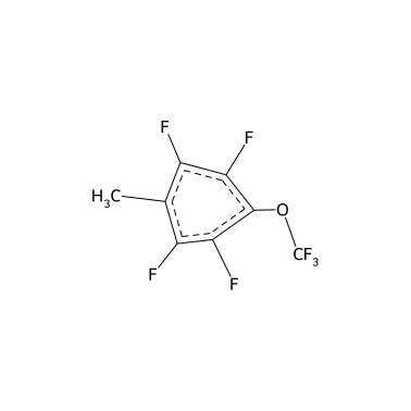 Cc1c(F)c(F)c(OC(F)(F)F)c(F)c1F